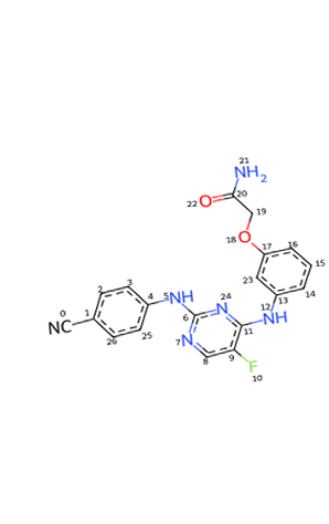 N#Cc1ccc(Nc2ncc(F)c(Nc3cccc(OCC(N)=O)c3)n2)cc1